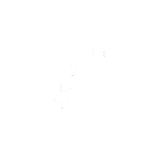 Clc1ccc2nc(-c3ccc(C#Cc4ccccc4)s3)[c]n2c1